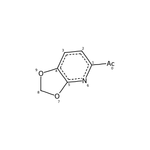 CC(=O)c1ccc2c(n1)OCO2